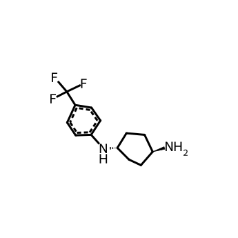 N[C@H]1CC[C@H](Nc2ccc(C(F)(F)F)cc2)CC1